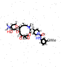 CCN1C[C@H](C)C[C@@](C)(OC)[C@H](O[C@@H]2O[C@H](C)C[C@H](N(C)C)[C@H]2O)[C@@H](C)C(=O)C(C)(C)C(=O)OC[C@H]1CC1CCN(C(=O)Nc2cccc(OC)c2)CC1